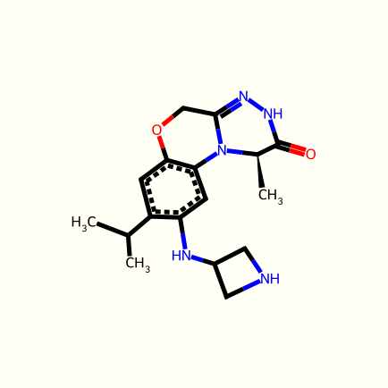 CC(C)c1cc2c(cc1NC1CNC1)N1C(=NNC(=O)[C@H]1C)CO2